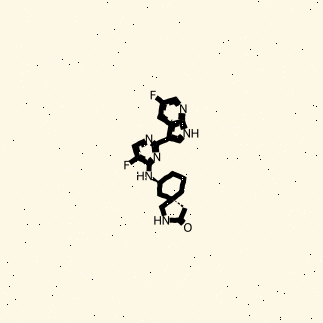 O=C1C[C@]2(CCC[C@H](Nc3nc(-c4c[nH]c5ncc(F)cc45)ncc3F)C2)CN1